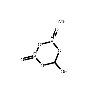 O=[PH]1OC(O)O[PH](=O)O1.[Na]